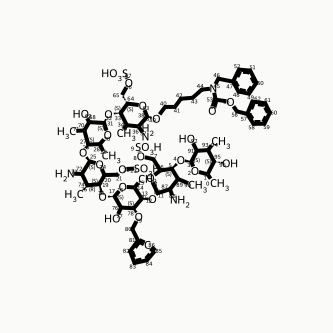 CC1O[C@@H](O[C@@H]2C(COS(=O)(=O)O)O[C@H](O[C@@H]3C(C)O[C@@H](O[C@@H]4C(COS(=O)(=O)O)O[C@H](O[C@@H]5C(C)O[C@@H](O[C@H]6C(C)C(N)[C@@H](OCCCCCN(Cc7ccccc7)C(=O)OCc7ccccc7)O[C@H]6COS(=O)(=O)O)C(O)C5C)C(N)[C@H]4C)C(O)[C@@H]3OCc3ccccc3)C(N)C2C)C(O)C(C)[C@@H]1O